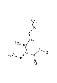 C=CCOC(=O)/C(=N\OC)C(=O)CBr